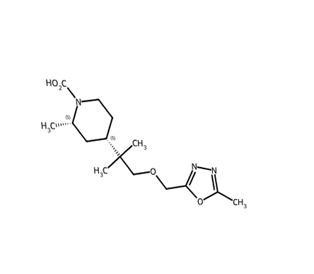 Cc1nnc(COCC(C)(C)[C@H]2CCN(C(=O)O)[C@@H](C)C2)o1